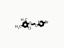 Cc1cc(C)c(OCCOc2ccc(Br)cn2)c(Cl)c1